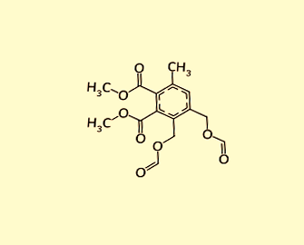 COC(=O)c1c(C)cc(COC=O)c(COC=O)c1C(=O)OC